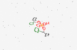 CCC(Cl)OP(=O)(O)OC(Cl)CC